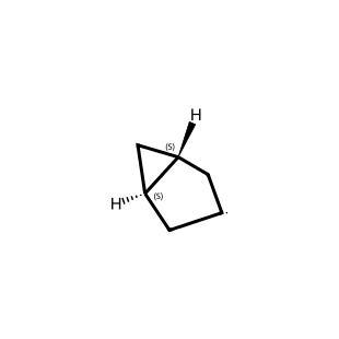 [CH]1C[C@H]2C[C@@H]2C1